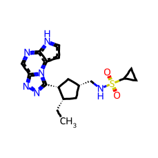 CC[C@H]1C[C@@H](CNS(=O)(=O)C2CC2)C[C@H]1c1nnc2cnc3[nH]ccc3n12